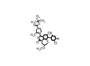 CO[C@H]1CSc2c(-c3cc(Cl)c(F)cc3F)c(Cl)cc3c(N4CCN(C(=O)OC(C)(C)C)C[C@@H]4C)nc(=O)n(c23)C1